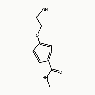 CNC(=O)c1ccc(OCCO)cc1